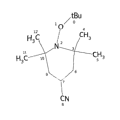 CC(C)(C)ON1C(C)(C)CC(C#N)CC1(C)C